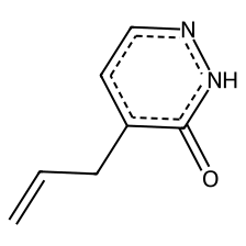 C=CCc1ccn[nH]c1=O